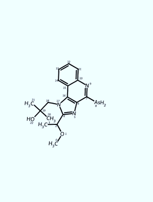 COC(C)c1nc2c([AsH2])nc3ccccc3c2n1CC(C)(C)O